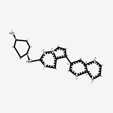 O[C@H]1CC[C@@H](Nc2ncc3c(-c4cnc5nccnc5c4)ccn3n2)CC1